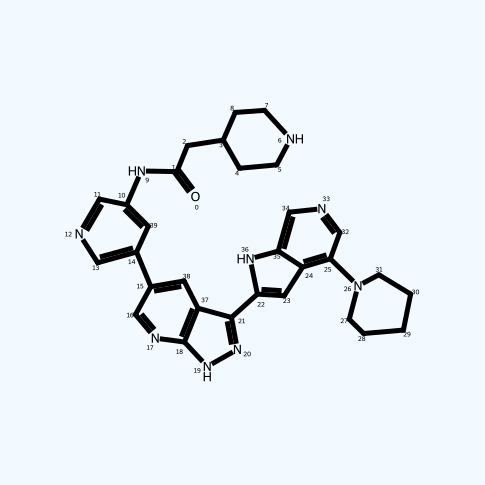 O=C(CC1CCNCC1)Nc1cncc(-c2cnc3[nH]nc(-c4cc5c(N6CCCCC6)cncc5[nH]4)c3c2)c1